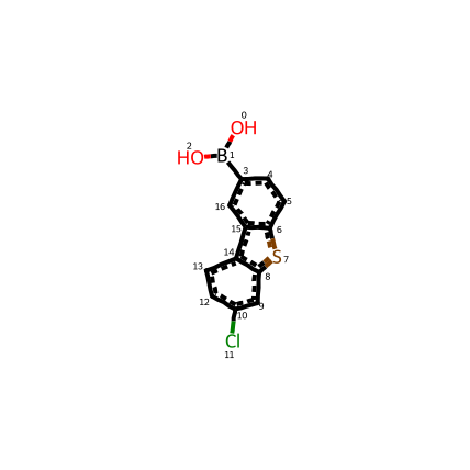 OB(O)c1ccc2sc3cc(Cl)ccc3c2c1